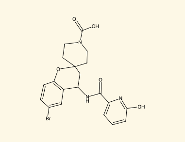 O=C(NC1CC2(CCN(C(=O)O)CC2)Oc2ccc(Br)cc21)c1cccc(O)n1